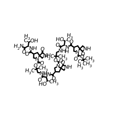 C[C@@H](O)[C@H](NC(=O)C1CN(C(=O)OC(C)(C)CNC(=O)[C@@H](NC(=O)C2CN(C(=O)OC(C)(C)CNC(=O)[C@@H](NC(=O)C3CN(C(=O)OC(C)(C)C)C4(CNC4=O)C3)[C@@H](C)O)C3(CNC3=O)C2)[C@@H](C)O)C2(CNC2=O)C1)C(N)=O